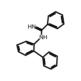 N=C(Nc1ccccc1-c1ccccc1)c1ccccc1